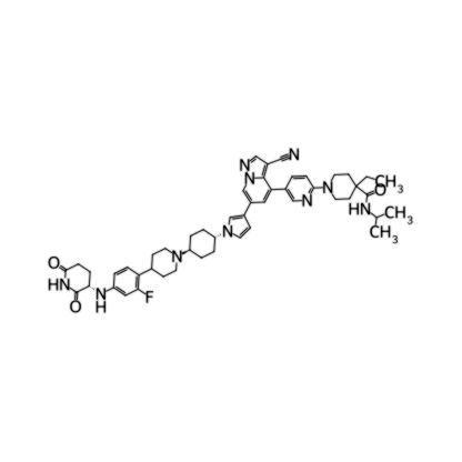 CCC1(C(=O)NC(C)C)CCN(c2ccc(-c3cc(-c4ccn([C@H]5CC[C@H](N6CCC(c7ccc(N[C@H]8CCC(=O)NC8=O)cc7F)CC6)CC5)c4)cn4ncc(C#N)c34)cn2)CC1